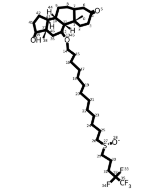 C[C@]12CCC(=O)CC1CC[C@@H]1[C@H]2C(OCCCCCCCCCCCCC[S+]([O-])CCCC(F)(F)C(F)(F)F)C[C@]2(C)C(O)CC[C@@H]12